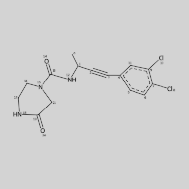 CC(C#Cc1ccc(Cl)c(Cl)c1)NC(=O)N1CCNC(=O)C1